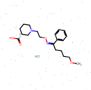 COCCCCC(=NOCCN1CCC[C@@H](C(=O)O)C1)c1ccccc1.Cl